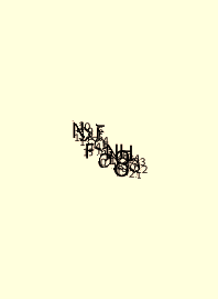 O=C(Nc1cc(F)c(-c2ccncc2)c(F)c1)C1COc2ccccc2O1